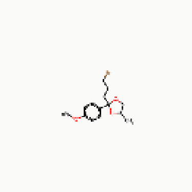 CCCOc1ccc(C2(CCCBr)OCC(C)O2)cc1